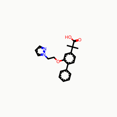 CC(C)(C(=O)O)c1ccc(-c2ccccc2)c(OCCn2cccn2)c1